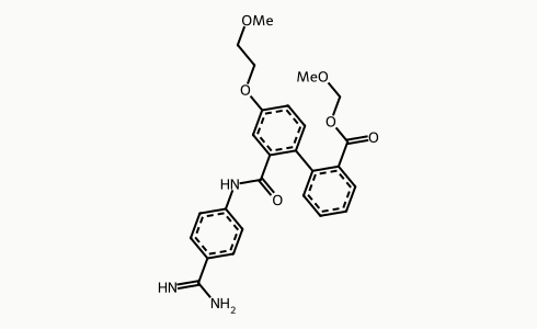 COCCOc1ccc(-c2ccccc2C(=O)OCOC)c(C(=O)Nc2ccc(C(=N)N)cc2)c1